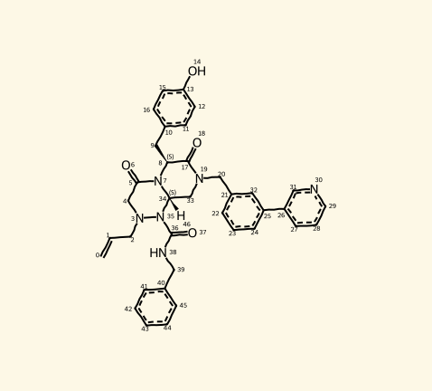 C=CCN1CC(=O)N2[C@@H](Cc3ccc(O)cc3)C(=O)N(Cc3cccc(-c4cccnc4)c3)C[C@@H]2N1C(=O)NCc1ccccc1